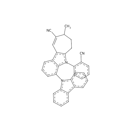 CC1CCc2c(c3cccc(-n4c5ccccc5c5ccccc54)c3n2-c2ccccc2C#N)C=C1C#N